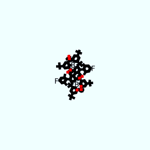 Cc1cc(F)cc(C)c1-c1cc(B(c2c(C(C)(C)C)cc(C(C)(C)C)cc2C(C)(C)C)c2c(C(C)(C)C)cc(C(C)(C)C)cc2C(C)(C)C)c2ccc3c(-c4c(C)cc(F)cc4C)cc(B(c4c(C(C)(C)C)cc(C(C)(C)C)cc4C(C)(C)C)c4c(C(C)(C)C)cc(C(C)(C)C)cc4C(C)(C)C)c4ccc1c2c43